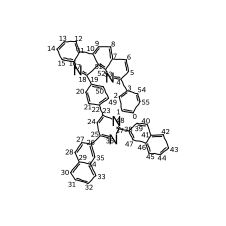 c1ccc(-c2ccc3ccc4c5ccccc5nc(-c5ccc(-c6cc(-c7ccc8ccccc8c7)nc(-c7ccc8ccccc8c7)n6)cc5)c4c3n2)cc1